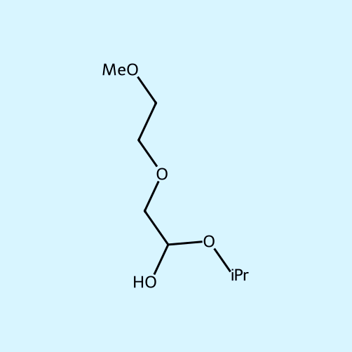 COCCOCC(O)OC(C)C